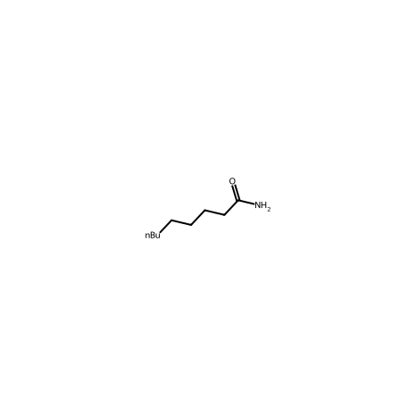 [CH2]CCCCCCCC(N)=O